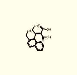 CCC(=C(C(=O)O)C(=O)O)c1c(CC)ccc2ccccc12